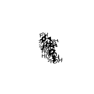 [2H]c1c([2H])c([C@@H]2CC2Nc2nc(SC([2H])([2H])CC)nc3c2nnn3[C@@H]2C[C@H](OCC([2H])([2H])O)[C@@H](O)[C@H]2O)c([2H])c(F)c1C